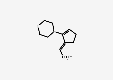 CCOC(=O)/C=C1\CCC=C1N1CCOCC1